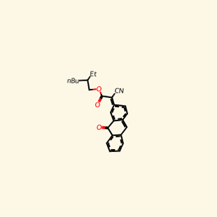 CCCCC(CC)COC(=O)/C(C#N)=c1/ccc2c(c1)C(=O)c1ccccc1C=2